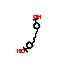 CC(C)(O)c1ccc(CCCCCc2ccc(C(C)(C)O)cc2)cc1